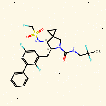 CC(F)(F)CNC(=O)N1CC2(CC2)[C@H](NS(=O)(=O)CF)[C@@H]1Cc1cc(F)cc(-c2ccccc2)c1F